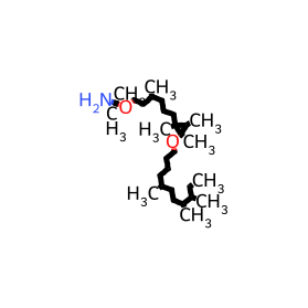 CCC(C)C(C)CCC(C)CCCCOC1(C)C(C)C1(C)CCCC(C)CCOC(C)(C)N